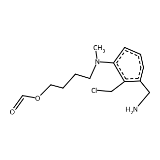 CN(CCCCOC=O)c1cccc(CN)c1CCl